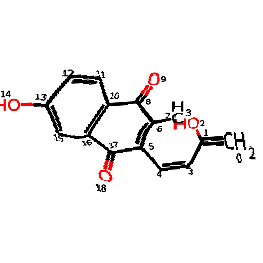 C=C(O)/C=C\C1=C(C)C(=O)c2ccc(O)cc2C1=O